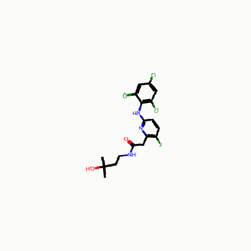 CC(C)(O)CCNC(=O)Cc1nc(Nc2c(Cl)cc(Cl)cc2Cl)ccc1F